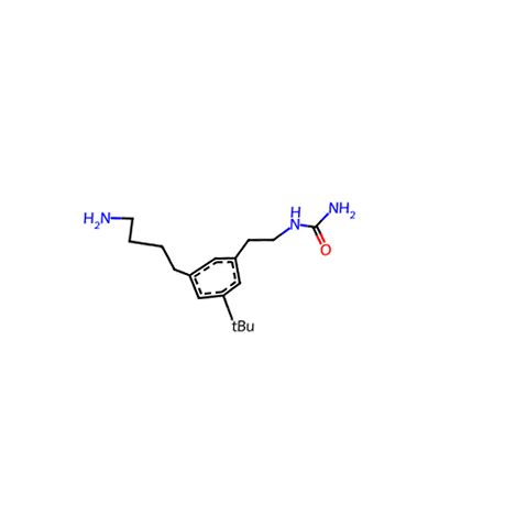 CC(C)(C)c1cc(CCCCN)cc(CCNC(N)=O)c1